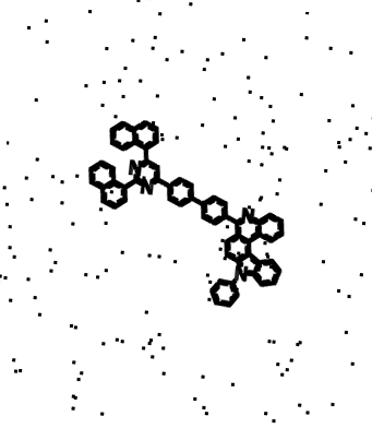 c1ccc(-n2c3ccccc3c3c4c(ccc32)c(-c2ccc(-c3ccc(-c5cc(-c6cccc7ccccc67)nc(-c6cccc7ccccc67)n5)cc3)cc2)nc2ccccc24)cc1